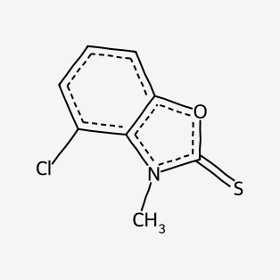 Cn1c(=S)oc2cccc(Cl)c21